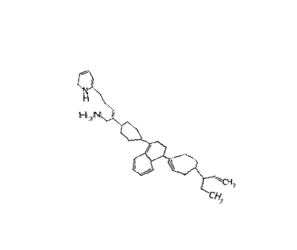 C=CC(CC)C1CC=C(C2CCC(C3CCC(/C(=C/CCC4=CC=CCN4)CN)CC3)=C3C=CC=CC32)CC1